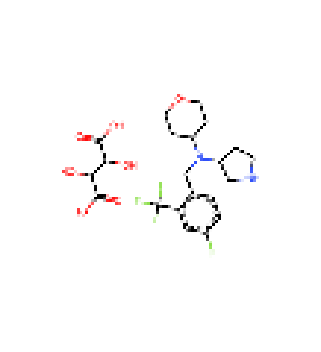 Fc1ccc(CN(C2CCOCC2)[C@H]2CCNC2)c(C(F)(F)F)c1.O=C(O)C(O)C(O)C(=O)O